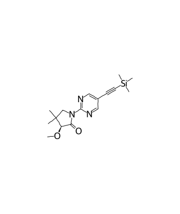 CO[C@@H]1C(=O)N(c2ncc(C#C[Si](C)(C)C)cn2)CC1(C)C